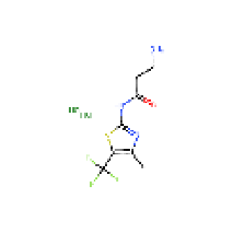 Cc1nc(NC(=O)CCN)sc1C(F)(F)F.Cl.Cl